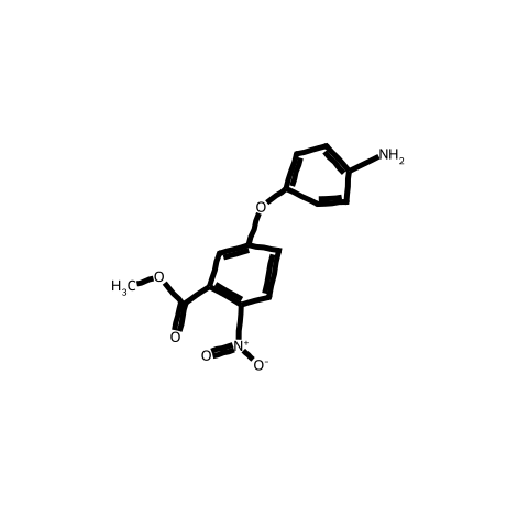 COC(=O)c1cc(Oc2ccc(N)cc2)ccc1[N+](=O)[O-]